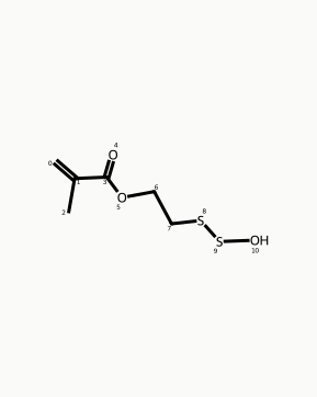 C=C(C)C(=O)OCCSSO